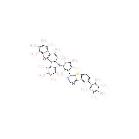 Bc1c(B)c(B)c(-c2ccc3sc4c(-c5c(B)c(B)c(B)c(-n6c7c(B)c(B)c(B)c(B)c7c7c8oc9c(B)c(B)c(B)c(B)c9c8c(B)c(B)c76)c5B)ncnc4c3c2)c(B)c1B